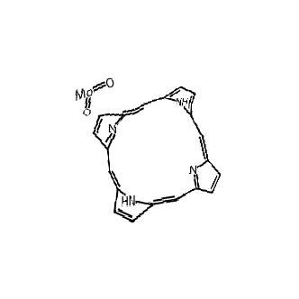 C1=Cc2cc3ccc(cc4nc(cc5ccc(cc1n2)[nH]5)C=C4)[nH]3.[O]=[Mo]=[O]